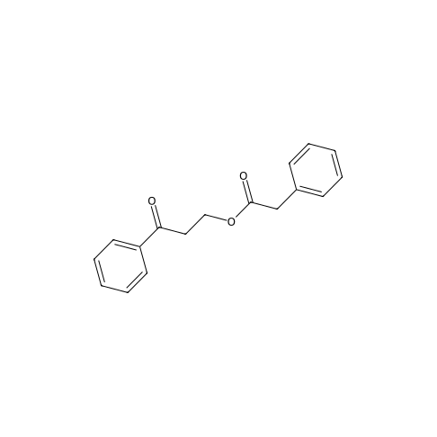 O=C(Cc1ccccc1)OCCC(=O)c1ccccc1